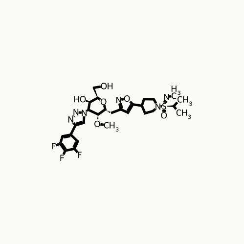 CN=[S@@](=O)(C(C)C)N1CCC(c2cc(C[C@H]3O[C@H](CO)[C@H](O)[C@H](n4cc(-c5cc(F)c(F)c(F)c5)nn4)[C@H]3OC)no2)CC1